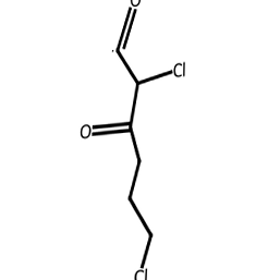 O=[C]C(Cl)C(=O)CCCCl